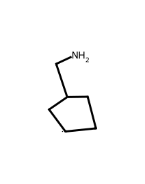 NCC1C[CH]CC1